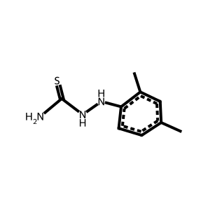 Cc1ccc(NNC(N)=S)c(C)c1